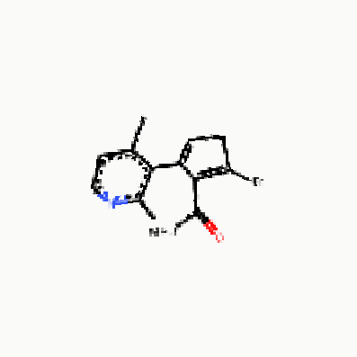 COC(=O)C1=C(C(C)C)CC=C1c1c(C)ccnc1C